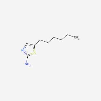 CCCCCCc1cnc(N)s1